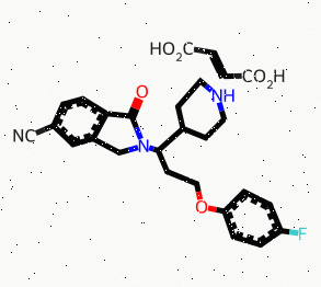 N#Cc1ccc2c(c1)CN(C(CCOc1ccc(F)cc1)C1CCNCC1)C2=O.O=C(O)/C=C/C(=O)O